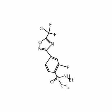 CCNP(C)(=O)c1ccc(-c2noc(C(F)(F)Cl)n2)cc1F